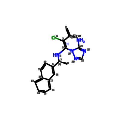 C=C(CC)/C(Cl)=C(/N[C@@H](C)c1ccc2ccccc2c1)n1ncnc1N